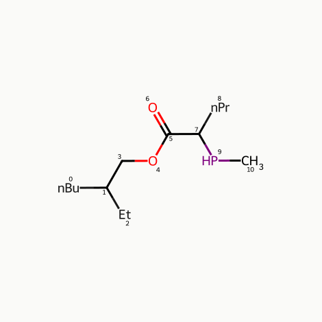 CCCCC(CC)COC(=O)C(CCC)PC